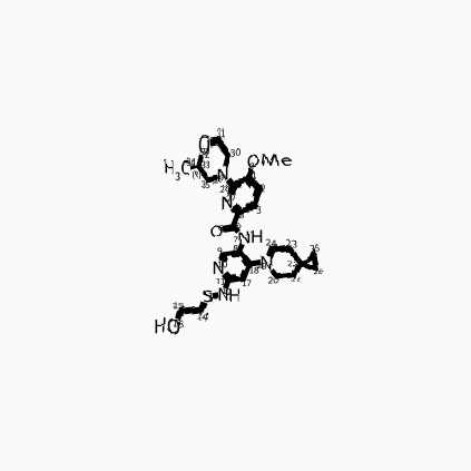 COc1ccc(C(=O)Nc2cnc(NSCCO)cc2N2CCC3(CC2)CC3)nc1N1CCO[C@H](C)C1